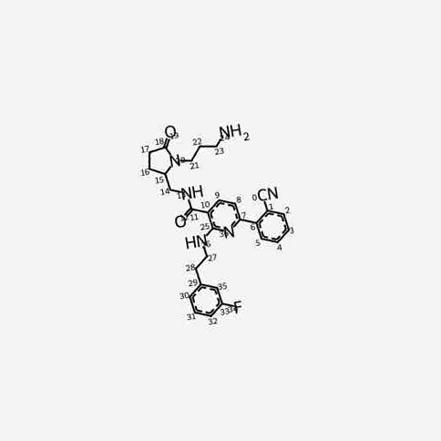 N#Cc1ccccc1-c1ccc(C(=O)NCC2CCC(=O)N2CCCN)c(NCCc2cccc(F)c2)n1